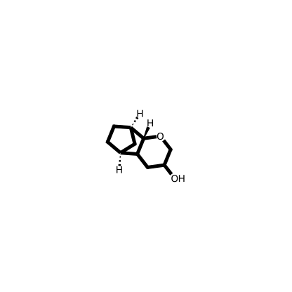 OC1CO[C@@H]2C(C1)[C@H]1CC[C@@H]2C1